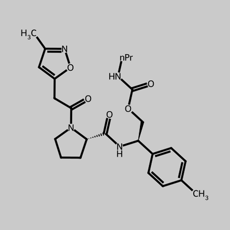 CCCNC(=O)OC[C@H](NC(=O)[C@@H]1CCCN1C(=O)Cc1cc(C)no1)c1ccc(C)cc1